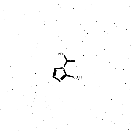 CCCCC(C)n1ccnc1C(=O)O